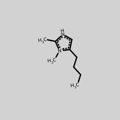 CCCCc1c[nH]c(C)[n+]1C